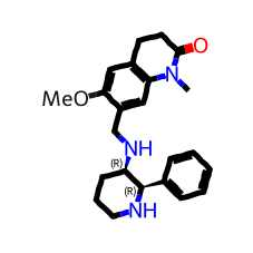 COc1cc2c(cc1CN[C@@H]1CCCN[C@@H]1c1ccccc1)N(C)C(=O)CC2